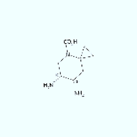 N[C@@H]1CN(C(=O)O)C2(CC2)C[C@@H]1N